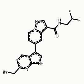 CC(C)Cc1ncc2c(-c3ccn4ncc(C(=O)NCC(F)F)c4c3)c[nH]c2n1